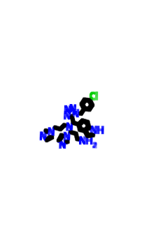 NCCC(N(CCCn1ccnc1)C(c1ccc2[nH]ccc2c1)c1nnnn1Cc1ccc(Cl)cc1)n1ccnc1